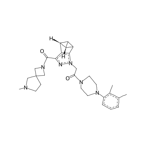 Cc1cccc(N2CCN(C(=O)Cn3nc(C(=O)N4CC5(CCN(C)C5)C4)c4c3C3C5[C@H]3[C@H]45)CC2)c1C